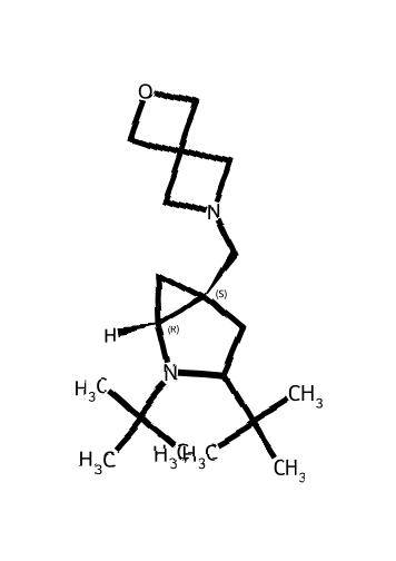 CC(C)(C)C1C[C@@]2(CN3CC4(COC4)C3)C[C@H]2N1C(C)(C)C